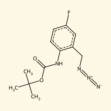 CC(C)(C)OC(=O)Nc1ccc(F)cc1CN=[N+]=[N-]